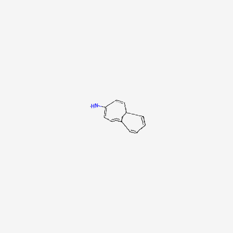 [NH]C1=CC=C2C=CC=CC2C=C1